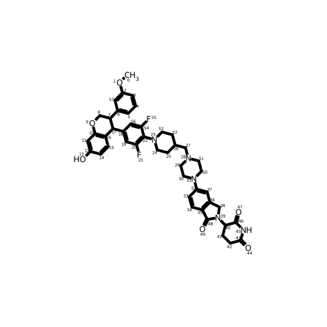 COc1cccc(C2COc3cc(O)ccc3C2c2cc(F)c(N3CCC(CN4CCN(c5ccc6c(c5)CN(C5CCC(=O)NC5=O)C6=O)CC4)CC3)c(F)c2)c1